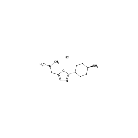 CN(C)Cc1cnc([C@H]2CC[C@H](N)CC2)o1.Cl